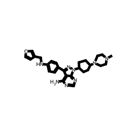 CN1CCN(C2CCC(n3nc(-c4ccc(NCc5ccoc5)cc4)c4c(N)ncnc43)CC2)CC1